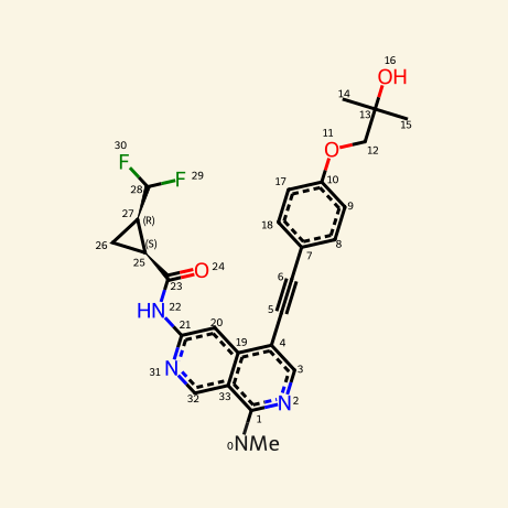 CNc1ncc(C#Cc2ccc(OCC(C)(C)O)cc2)c2cc(NC(=O)[C@H]3C[C@H]3C(F)F)ncc12